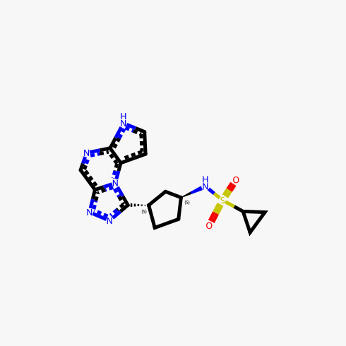 O=S(=O)(N[C@H]1CC[C@H](c2nnc3cnc4[nH]ccc4n23)C1)C1CC1